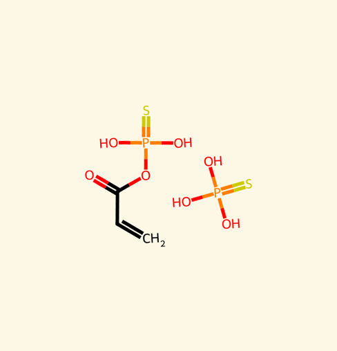 C=CC(=O)OP(O)(O)=S.OP(O)(O)=S